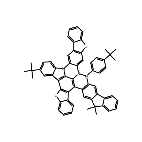 CC(C)(C)c1ccc(N2B3c4cc5oc6ccccc6c5cc4-n4c5ccc(C(C)(C)C)cc5c5c6oc7ccccc7c6c(c3c54)-c3cc4c(cc32)-c2ccccc2C4(C)C)cc1